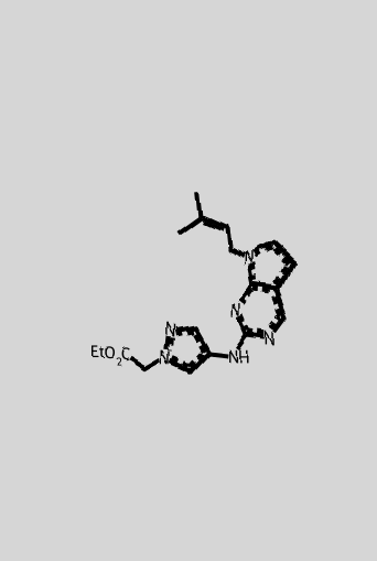 CCOC(=O)Cn1cc(Nc2ncc3ccn(CC=C(C)C)c3n2)cn1